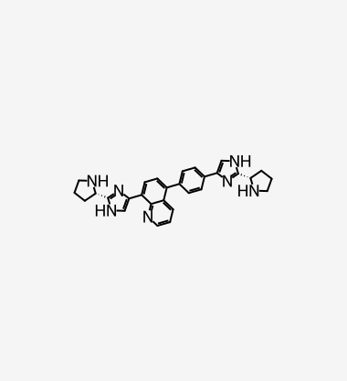 c1cnc2c(-c3c[nH]c([C@@H]4CCCN4)n3)ccc(-c3ccc(-c4c[nH]c([C@@H]5CCCN5)n4)cc3)c2c1